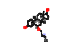 CC/C=C/CO[C@@H]1C[C@@H]2[C@H](CC[C@]3(C)C(=O)CC[C@@H]23)[C@@]2(C)C=CC(=O)C=C12